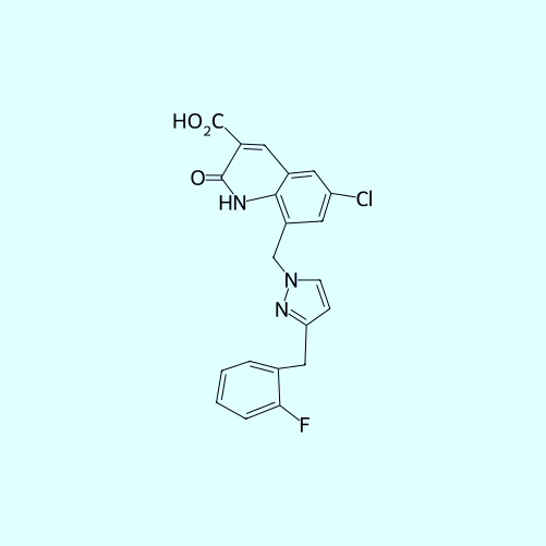 O=C(O)c1cc2cc(Cl)cc(Cn3ccc(Cc4ccccc4F)n3)c2[nH]c1=O